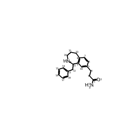 NC(=O)CCc1ccc2c(c1)C(Cc1ccccc1)NCCC2